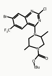 CC1CN(c2nc(Cl)nc3cc(Br)c(C(F)(F)F)cc23)C(C)CN1C(=O)OC(C)(C)C